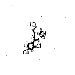 OCCCN=C(Cn1ccnc1)c1ccc(Cl)cc1Cl